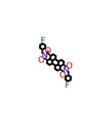 O=C1c2ccc3c4ccc5c6c(ccc(c7ccc(c2c37)C(=O)N1Cc1ccc(F)cc1)c64)C(=O)N(Cc1ccc(F)cc1)C5=O